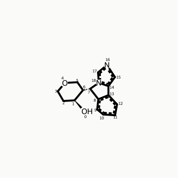 O[C@H]1CCOCC1[C@H]1c2ccccc2-c2cncn21